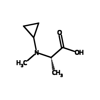 C[C@@H](C(=O)O)N(C)C1CC1